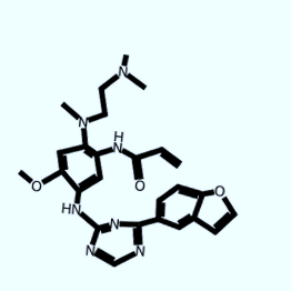 C=CC(=O)Nc1cc(Nc2ncnc(-c3ccc4occc4c3)n2)c(OC)cc1N(C)CCN(C)C